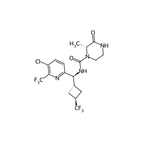 C[C@@H]1C(=O)NCCN1C(=O)N[C@H](c1ccc(Cl)c(C(F)(F)F)n1)[C@H]1C[C@H](C(F)(F)F)C1